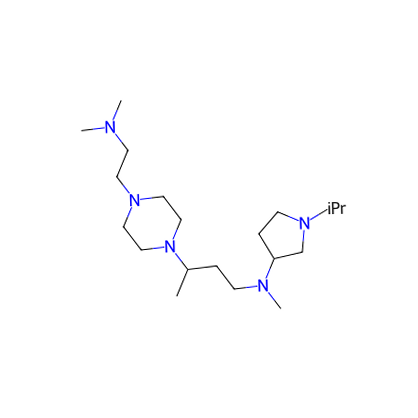 CC(C)N1CCC(N(C)CCC(C)N2CCN(CCN(C)C)CC2)C1